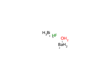 F.O.[BaH2].[BiH3]